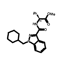 COC(=O)[C@@H](NC(=O)c1nn(CC2CCCCC2)c2ccccc12)C(C)C